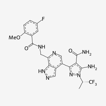 COc1ccc(F)cc1C(=O)NCc1ncc(-c2nn([C@@H](C)C(F)(F)F)c(N)c2C(N)=O)c2cn[nH]c12